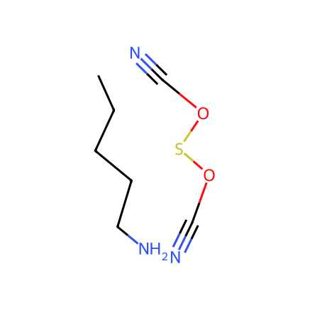 CCCCCN.N#COSOC#N